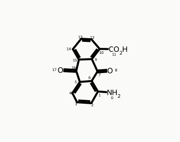 Nc1cccc2c1C(=O)c1c(C(=O)O)cccc1C2=O